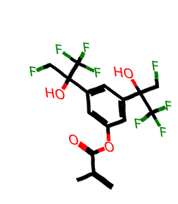 C=C(C)C(=O)Oc1cc(C(O)(CF)C(F)(F)F)cc(C(O)(CF)C(F)(F)F)c1